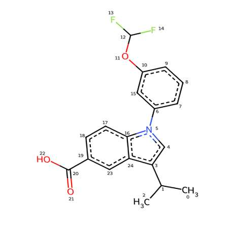 CC(C)c1cn(-c2cccc(OC(F)F)c2)c2ccc(C(=O)O)cc12